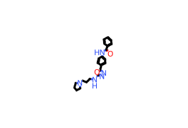 O=C(Nc1ccc(-c2nnc(NCCCN3CCCC3)o2)cc1)c1ccccc1